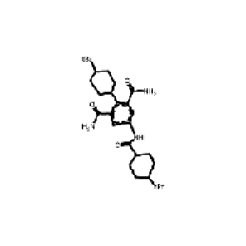 CCCC1CCC(C(=O)Nc2cc(C(N)=O)c(C3CCC(C(C)(C)C)CC3)c(C(N)=O)c2)CC1